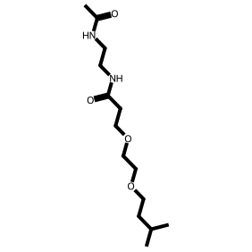 CC(=O)NCCNC(=O)CCOCCOCCC(C)C